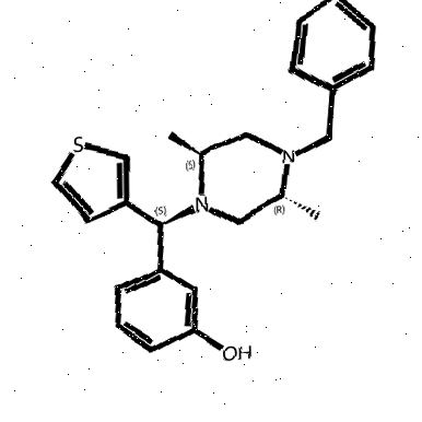 C[C@@H]1CN([C@H](c2ccsc2)c2cccc(O)c2)[C@@H](C)CN1Cc1ccccc1